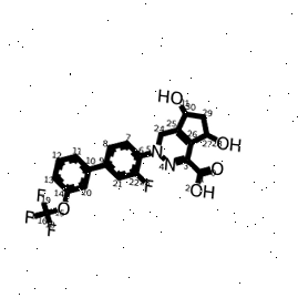 O=C(O)C1=NN(c2ccc(-c3cccc(OC(F)(F)F)c3)cc2F)CC2=C1C(O)CC2O